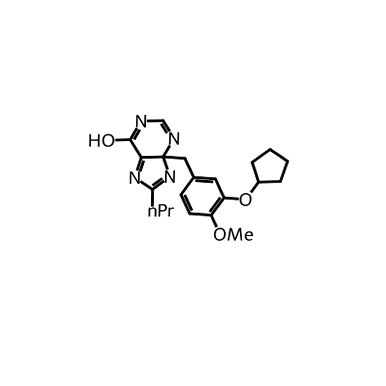 CCCC1=NC2(Cc3ccc(OC)c(OC4CCCC4)c3)N=CN=C(O)C2=N1